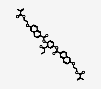 C=C(C)C(=O)OCCOc1ccc2cc(C(=O)Oc3ccc(OC(=O)c4ccc5cc(OCCOC(=O)C(=C)C)ccc5c4)c(C(=O)CC)c3)ccc2c1